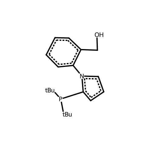 CC(C)(C)P(c1cccn1-c1ccccc1CO)C(C)(C)C